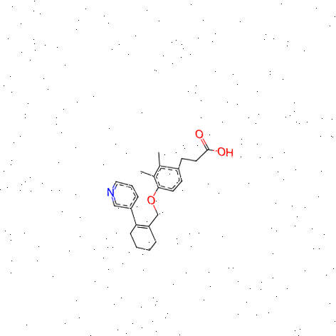 Cc1c(CCC(=O)O)ccc(OCC2=C(c3cccnc3)CCCC2)c1C